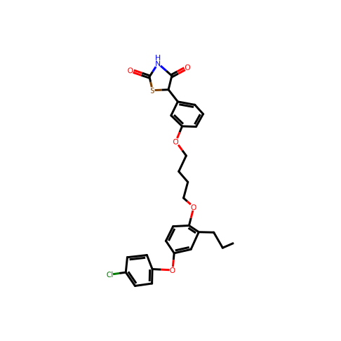 CCCc1cc(Oc2ccc(Cl)cc2)ccc1OCCCCOc1cccc(C2SC(=O)NC2=O)c1